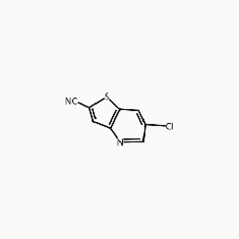 N#Cc1cc2ncc(Cl)cc2s1